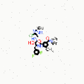 CCCCc1nc(Cl)c(CNC[C@@H](O)[C@H](Cc2cc(F)cc(F)c2)NC(=O)c2cc(C)cc(C(=O)N(CCC)CCC)c2)[nH]1